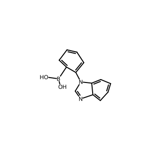 OB(O)c1ccccc1-n1cnc2ccccc21